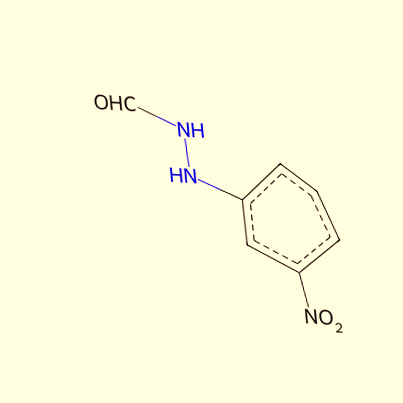 O=CNNc1cccc([N+](=O)[O-])c1